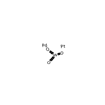 [O]=[W](=[O])=[O].[Pd].[Pt]